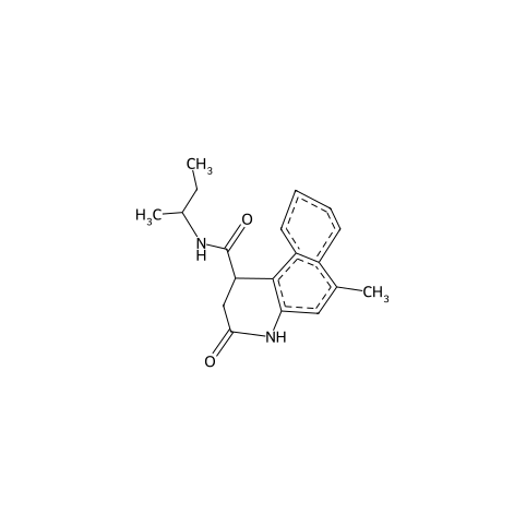 CCC(C)NC(=O)C1CC(=O)Nc2cc(C)c3ccccc3c21